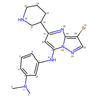 CN(C)c1cccc(Nc2cc(C3CCCNC3)nc3c(Br)cnn23)c1